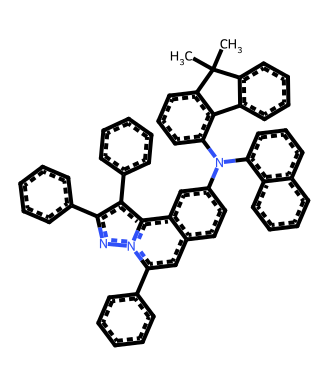 CC1(C)c2ccccc2-c2c(N(c3ccc4cc(-c5ccccc5)n5nc(-c6ccccc6)c(-c6ccccc6)c5c4c3)c3cccc4ccccc34)cccc21